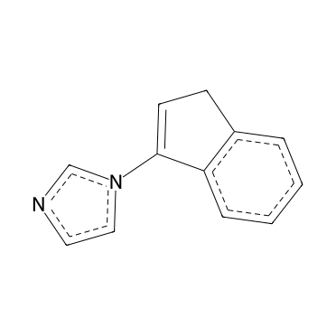 C1=C(n2ccnc2)c2ccccc2C1